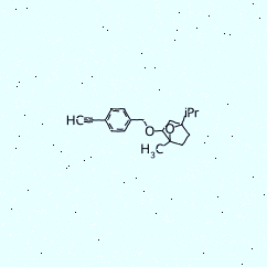 C#Cc1ccc(COC2CC3(C(C)C)CCC2(C)O3)cc1